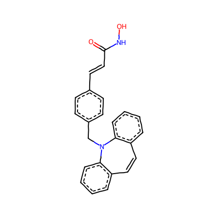 O=C(C=Cc1ccc(CN2c3ccccc3C=Cc3ccccc32)cc1)NO